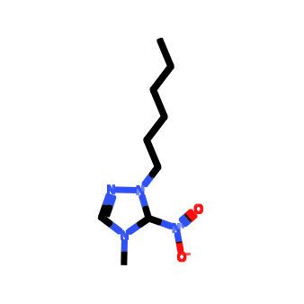 CCCCCCN1N=CN(C)C1[N+](=O)[O-]